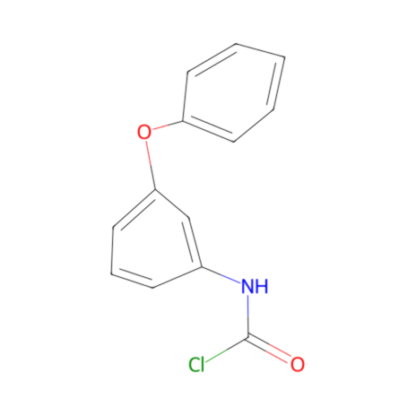 O=C(Cl)Nc1cccc(Oc2ccccc2)c1